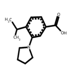 CC(C)c1ccc(C(=O)O)cc1N1CCCC1